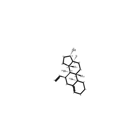 C=C[C@@H]1CC2=CCCC[C@@H]2[C@H]2CC[C@]3(C)[C@@H](O)CC[C@H]3[C@@H]21